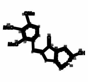 COc1ccc(C=C2Cc3ccc(O)cc3C2=O)c(OC)c1OC